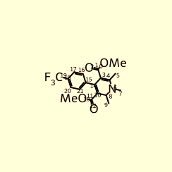 COC(=O)C1=C(C)N(C)C(C)C(C(=O)OC)=C1c1ccc(C(F)(F)F)cc1